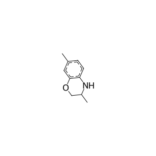 Cc1ccc2c(c1)OCC(C)N2